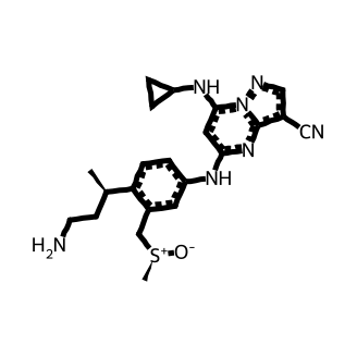 C[C@H](CCN)c1ccc(Nc2cc(NC3CC3)n3ncc(C#N)c3n2)cc1C[S@+](C)[O-]